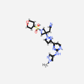 Cn1cc(Nc2nccc(-c3ccn(C4(CC#N)CN(S(=O)(=O)C5CCOCC5)C4)n3)n2)cn1